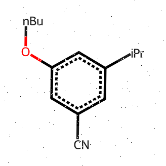 [CH2]C(C)c1cc(C#N)cc(OCCCC)c1